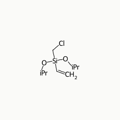 C=C[Si](CCl)(OC(C)C)OC(C)C